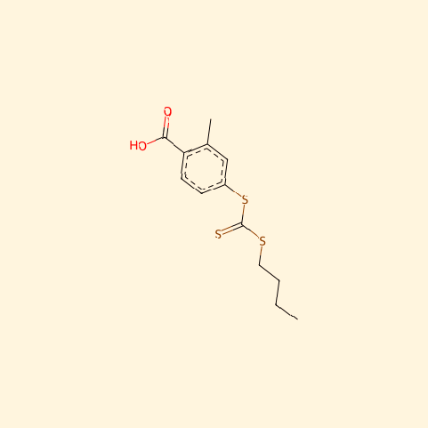 CCCCSC(=S)Sc1ccc(C(=O)O)c(C)c1